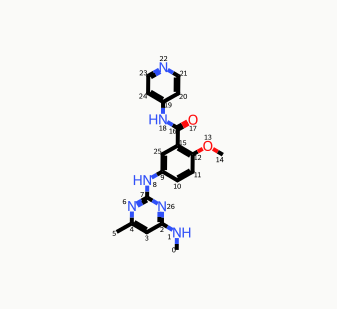 CNc1cc(C)nc(Nc2ccc(OC)c(C(=O)Nc3ccncc3)c2)n1